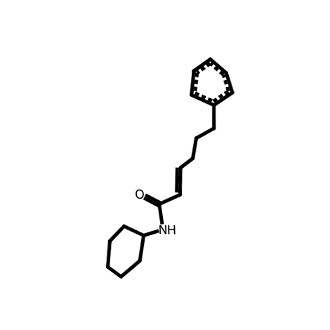 O=C(C=CCCCc1ccccc1)NC1CCCCC1